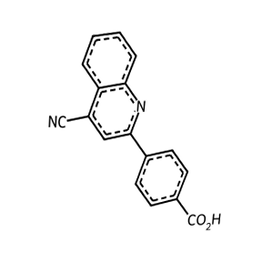 N#Cc1cc(-c2ccc(C(=O)O)cc2)nc2ccccc12